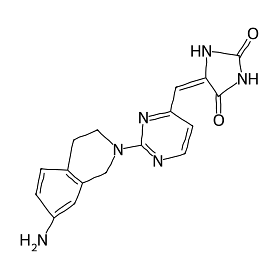 Nc1ccc2c(c1)CN(c1nccc(/C=C3/NC(=O)NC3=O)n1)CC2